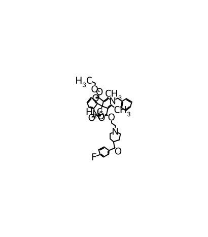 CCOOC(=O)C1=C(C)N(Cc2ccccc2)C(C)=C(C(=O)OCCN2CCC(C(=O)c3ccc(F)cc3)CC2)C1(C)c1ccccc1[N+](=O)[O-]